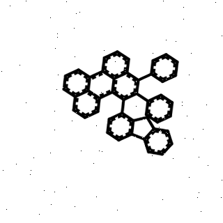 c1ccc(-c2c(-c3ccccc3)c3cccc4c5cccc6cccc(c(c2-c2cccc7c2Cc2ccccc2-7)c34)c65)cc1